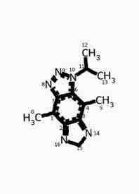 Cc1c2c(c(C)c3c1nnn3C(C)C)=NCN=2